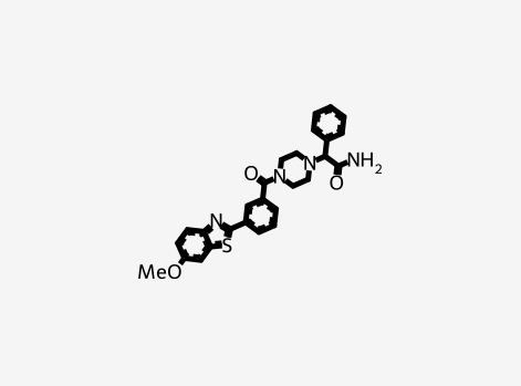 COc1ccc2nc(-c3cccc(C(=O)N4CCN(C(C(N)=O)c5ccccc5)CC4)c3)sc2c1